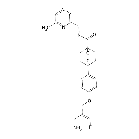 Cc1cncc(CNC(=O)C23CCC(c4ccc(OCC(=CF)CN)cc4)(CC2)CC3)n1